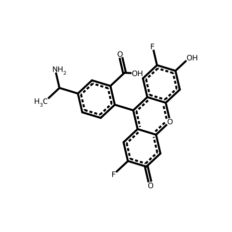 CC(N)c1ccc(-c2c3cc(F)c(=O)cc-3oc3cc(O)c(F)cc23)c(C(=O)O)c1